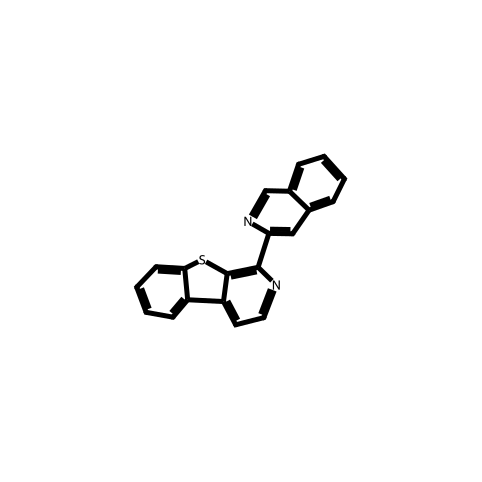 c1ccc2cc(-c3nccc4c3sc3ccccc34)ncc2c1